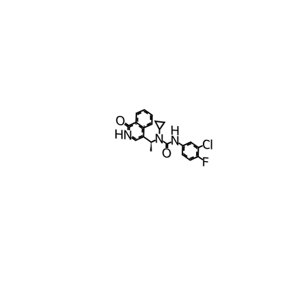 C[C@@H](c1c[nH]c(=O)c2ccccc12)N(C(=O)Nc1ccc(F)c(Cl)c1)C1CC1